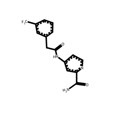 NC(=O)c1cc(NC(=O)Cc2cccc(C(F)(F)F)c2)ccn1